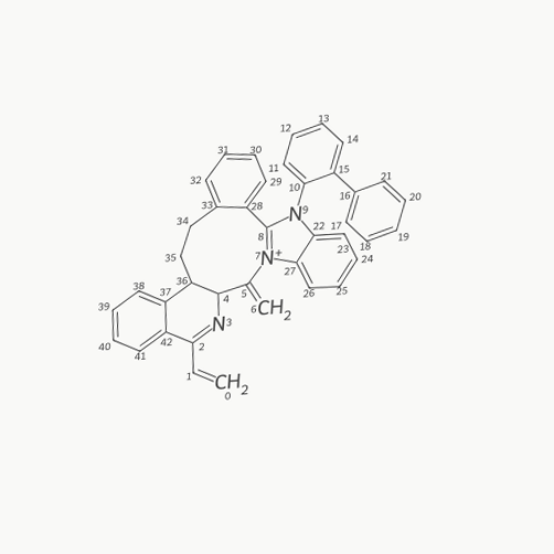 C=CC1=NC2C(=C)[n+]3c(n(-c4ccccc4-c4ccccc4)c4ccccc43)-c3ccccc3CCC2c2ccccc21